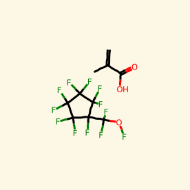 C=C(C)C(=O)O.FOC(F)(F)C1(F)C(F)(F)C(F)(F)C(F)(F)C1(F)F